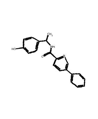 CC(NC(=O)c1ccc(-c2ccccc2)cn1)c1ccc(O)cc1